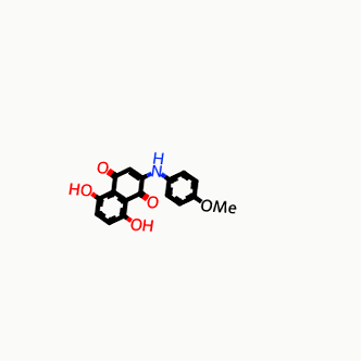 COc1ccc(NC2=CC(=O)c3c(O)ccc(O)c3C2=O)cc1